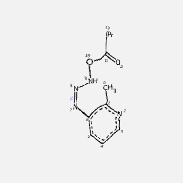 Cc1ncccc1/N=N\NOC(=O)C(C)C